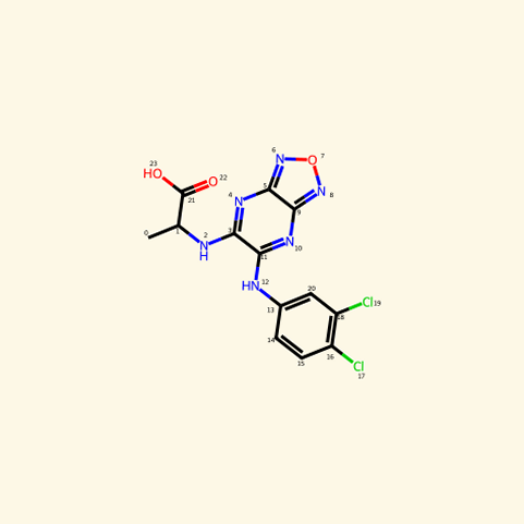 CC(Nc1nc2nonc2nc1Nc1ccc(Cl)c(Cl)c1)C(=O)O